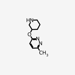 Cc1ccc(OC2CCCNC2)nn1